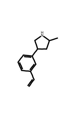 C=Cc1cccc(C2CNC(C)C2)c1